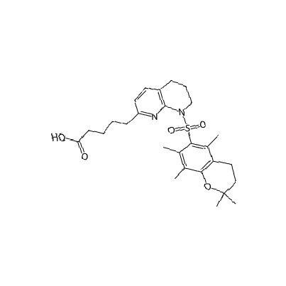 Cc1c(C)c(S(=O)(=O)N2CCCc3ccc(CCCCC(=O)O)nc32)c(C)c2c1OC(C)(C)CC2